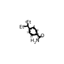 CCC(CC)c1ccc(C(N)=O)cc1